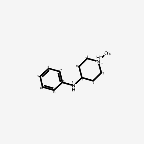 [O-][NH+]1CCC(Nc2ccccc2)CC1